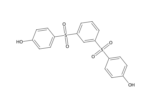 O=S(=O)(c1ccc(O)cc1)c1cccc(S(=O)(=O)c2ccc(O)cc2)c1